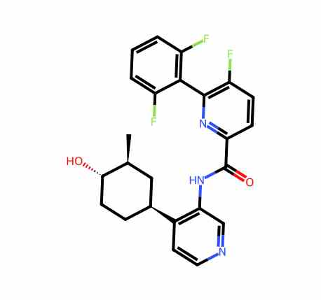 C[C@H]1C[C@@H](c2ccncc2NC(=O)c2ccc(F)c(-c3c(F)cccc3F)n2)CC[C@@H]1O